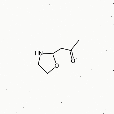 CC(=O)CC1NCCO1